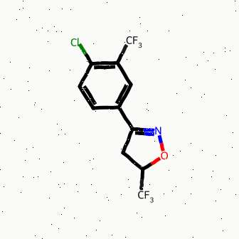 FC(F)(F)c1cc(C2=NOC(C(F)(F)F)C2)ccc1Cl